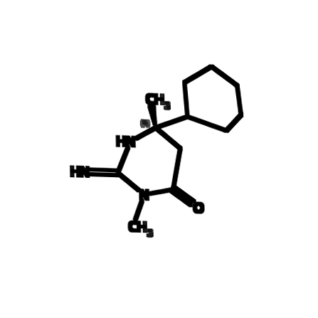 CN1C(=N)N[C@](C)(C2CCCCC2)CC1=O